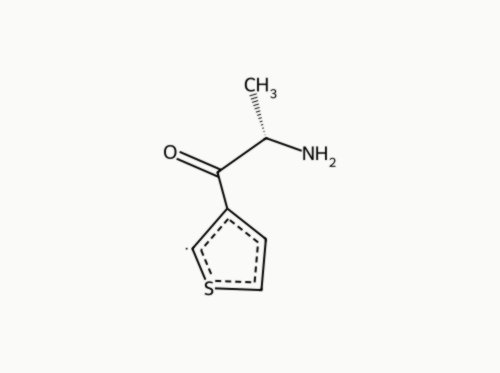 C[C@H](N)C(=O)c1[c]scc1